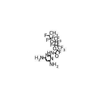 CC(F)C(F)(F)OC(F)(C(F)(F)F)C(F)(F)OC(F)(C(=O)Nc1nc(N)cc(N)n1)C(F)(F)F